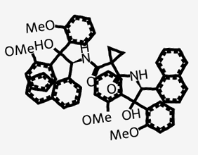 COc1ccccc1C(O)(c1ccccc1OC)[C@@H](NC(=O)C1(C(=O)N[C@@H](c2cccc3ccccc23)C(O)(c2ccccc2OC)c2ccccc2OC)CC1)c1cccc2ccccc12